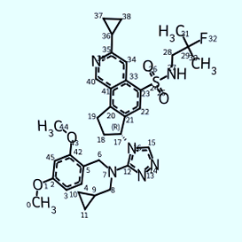 COc1ccc(CN(CC2CC2)c2nncn2[C@@H]2CCc3c2cc(S(=O)(=O)NCC(C)(C)F)c2cc(C4CC4)ncc32)c(OC)c1